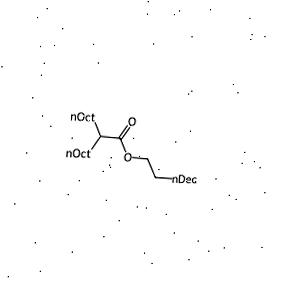 CCCCCCCCCCCCOC(=O)C(CCCCCCCC)CCCCCCCC